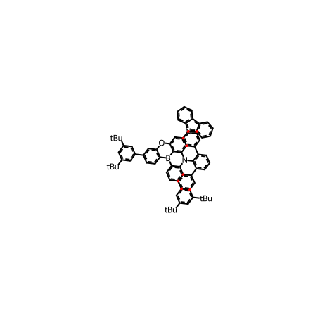 CC(C)(C)c1cc(-c2ccc3c(c2)Oc2cc(-n4c5ccccc5c5ccccc54)cc4c2B3c2ccc(-c3cc(C(C)(C)C)cc(C(C)(C)C)c3)cc2N4c2c(-c3ccccc3)cccc2-c2ccccc2)cc(C(C)(C)C)c1